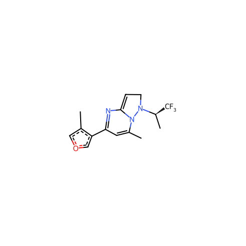 CC1=CC(c2cocc2C)=NC2=CCN([C@H](C)C(F)(F)F)N12